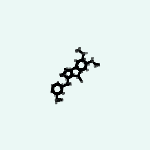 COc1cccc(Nc2[nH]nc3c2C(C)c2cc(OC(C)C)c(OC(C)C)cc2-3)c1